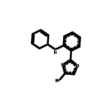 CC(C)c1coc(-c2ccccc2PC2C=CC=CC2)n1